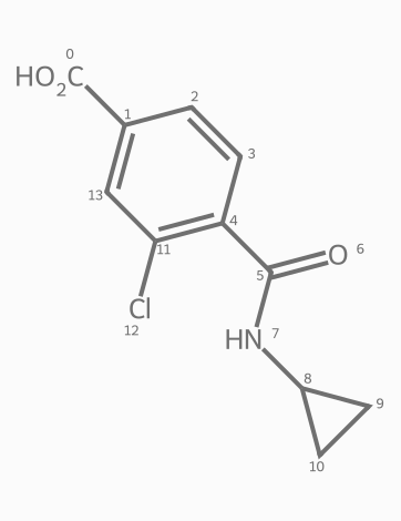 O=C(O)c1ccc(C(=O)NC2CC2)c(Cl)c1